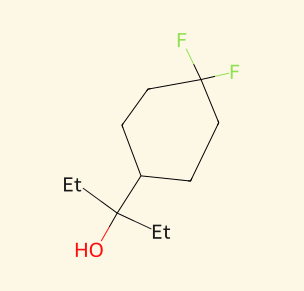 CCC(O)(CC)C1CCC(F)(F)CC1